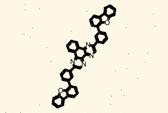 c1cc(-c2cnc3c(n2)c2ccccc2c2nc(-c4cccc(-c5cccc6c5oc5ccccc56)c4)cnc23)cc(-c2cccc3c2oc2ccccc23)c1